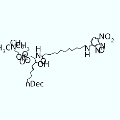 CCCCCCCCCCCCCC=CC(O)C(COP(=O)([O-])OCC[N+](C)(C)C)NC(=O)CCCCCCCCCCCNc1ccc([N+](=O)[O-])c2nonc12